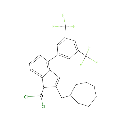 FC(F)(F)c1cc(-c2cccc3c2C=C(CC2CCCCCC2)[CH]3[Zr]([Cl])[Cl])cc(C(F)(F)F)c1